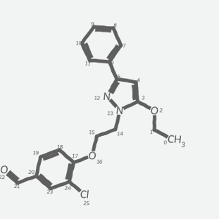 CCOc1cc(-c2ccccc2)nn1CCOc1ccc(C=O)cc1Cl